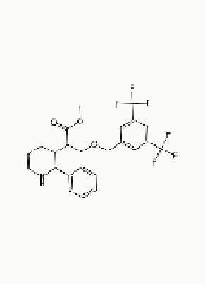 COC(=O)C(COCc1cc(C(F)(F)F)cc(C(F)(F)F)c1)C1CCCNC1c1ccccc1